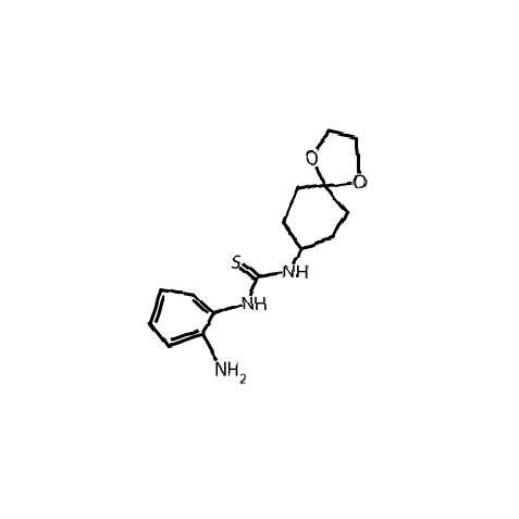 Nc1ccccc1NC(=S)NC1CCC2(CC1)OCCO2